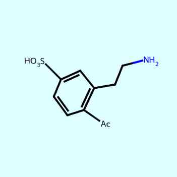 CC(=O)c1ccc(S(=O)(=O)O)cc1CCN